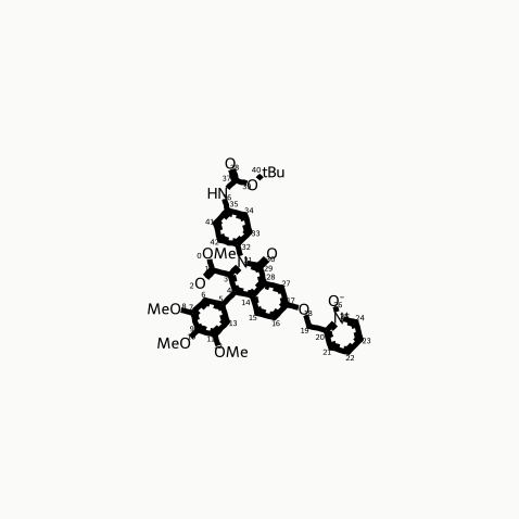 COC(=O)c1c(-c2cc(OC)c(OC)c(OC)c2)c2ccc(OCc3cccc[n+]3[O-])cc2c(=O)n1-c1ccc(NC(=O)OC(C)(C)C)cc1